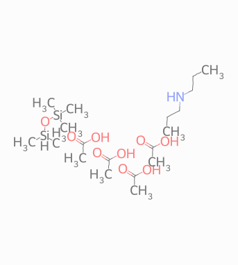 CC(=O)O.CC(=O)O.CC(=O)O.CC(=O)O.CCCNCCC.C[SiH](C)O[Si](C)(C)C